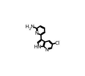 Nc1cccc(-c2c[nH]c3ncc(Cl)cc23)n1